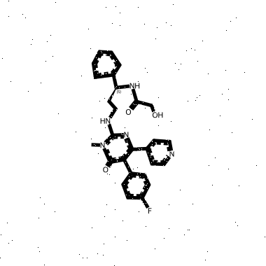 Cn1c(NCC[C@H](NC(=O)CO)c2ccccc2)nc(-c2ccncc2)c(-c2ccc(F)cc2)c1=O